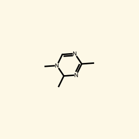 CC1=NC(C)N(C)C=N1